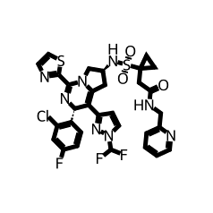 O=C(CC1(S(=O)(=O)N[C@H]2CC3=C(c4ccn(C(F)F)n4)[C@H](c4ccc(F)cc4Cl)N=C(c4nccs4)N3C2)CC1)NCc1ccccn1